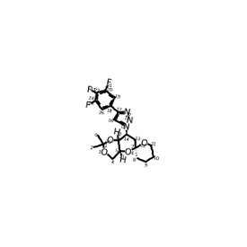 CC1(C)OC[C@H]2O[C@@]3(CCCCO3)C[C@H](n3cc(-c4cc(F)c(F)c(F)c4)nn3)[C@H]2O1